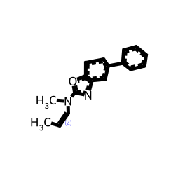 C/C=C\N(C)c1nc2cc(-c3ccccc3)ccc2o1